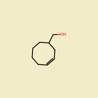 OCC1CC=CCCCC1